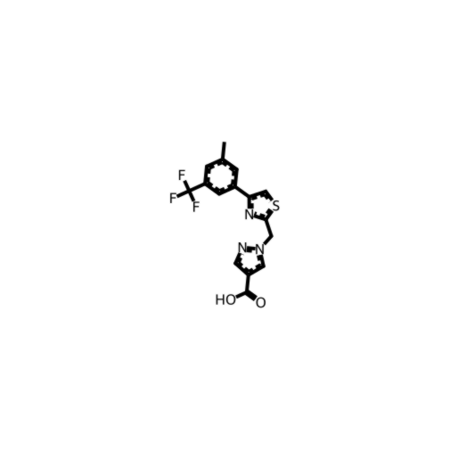 Cc1cc(-c2csc(Cn3cc(C(=O)O)cn3)n2)cc(C(F)(F)F)c1